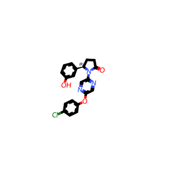 O=C1CC[C@H](c2cccc(O)c2)N1c1cnc(Oc2ccc(Cl)cc2)cn1